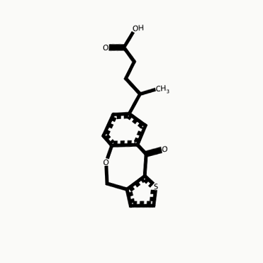 CC(CCC(=O)O)c1ccc2c(c1)C(=O)c1sccc1CO2